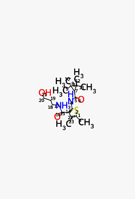 Cc1sc(NC(=O)C2C(C)(C)C2(C)C)c(C(=O)NCCCO)c1C